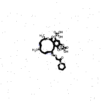 C[C@@H]1C/C=C/[C@H](C)C/C=C/C(=N/OCC(=O)N2CCCCC2)Cc2c(Cl)c(OP(=O)(O)O)cc(OP(=O)(O)O)c2C(=O)O1